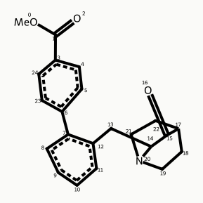 COC(=O)c1ccc(-c2ccccc2CC2C(=O)C3CCN2CC3)cc1